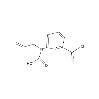 C=CCN(C(=O)O)c1cccc(C(=O)Cl)c1